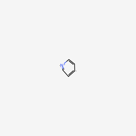 [C]1=CC=[N+]C=C1